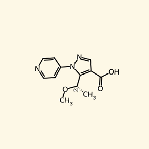 CO[C@@H](C)c1c(C(=O)O)cnn1-c1ccncc1